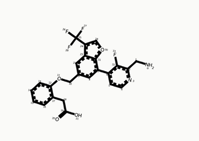 NCc1nccc(-c2cc(COc3ccccc3CC(=O)O)cc3c(C(F)(F)F)coc23)c1F